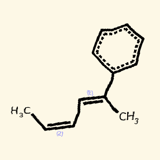 C/C=C\C=C(/C)c1ccccc1